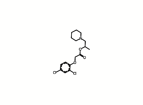 CC(CN1CCCCC1)OC(=O)COc1ccc(Cl)cc1Cl